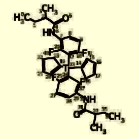 CCC(C)C(=O)Nc1ccc(F)[c]([Ti]([C]2=CC=CC2)([C]2=CC=CC2)[c]2c(F)ccc(NC(=O)C(C)CC)c2F)c1F